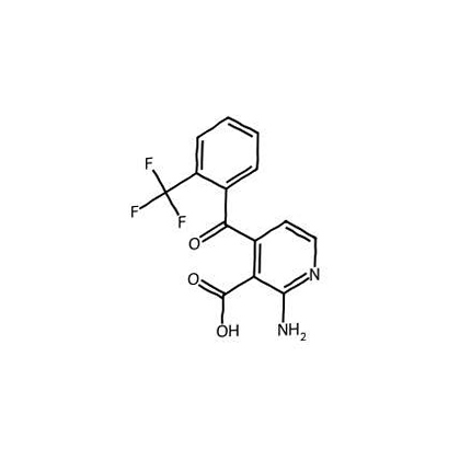 Nc1nccc(C(=O)c2ccccc2C(F)(F)F)c1C(=O)O